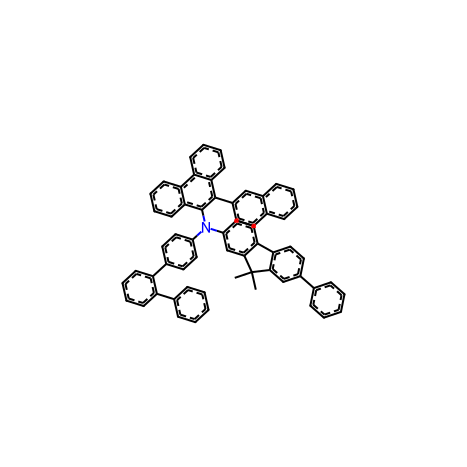 CC1(C)c2cc(-c3ccccc3)ccc2-c2ccc(N(c3ccc(-c4ccccc4-c4ccccc4)cc3)c3c(-c4ccc5ccccc5c4)c4ccccc4c4ccccc34)cc21